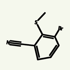 CSc1c(Br)cccc1C#N